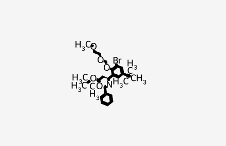 COCCOCOc1c(Br)cc(C(C)(C)C)cc1[C@H](CC(=O)OC(C)(C)C)/N=C/c1ccccc1